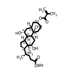 C=C(C)C(=O)O[C@@H]1CC[C@@]2(C)[C@@H](C1)C[C@@H](O)[C@@H]1[C@@H]2C[C@H](O)[C@]2(C)[C@@H]([C@H](C)CCC(=O)OC)CC[C@@H]12